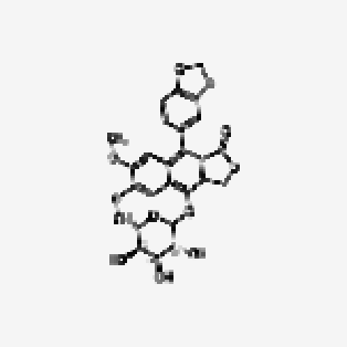 COc1cc2c(OC3OC[C@H](O)[C@H](O)[C@H]3O)c3c(c(-c4ccc5c(c4)OCO5)c2cc1OC)C(=O)OC3